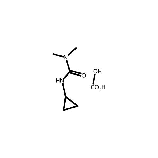 CN(C)C(=O)NC1CC1.O=C(O)O